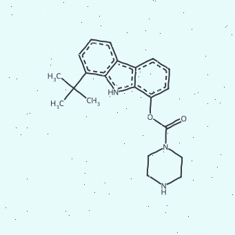 CC(C)(C)c1cccc2c1[nH]c1c(OC(=O)N3CCNCC3)cccc12